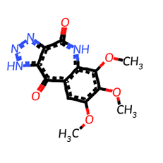 COc1cc2c(=O)c3[nH]nnc3c(=O)[nH]c2c(OC)c1OC